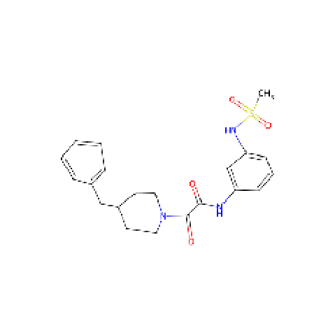 CS(=O)(=O)Nc1cccc(NC(=O)C(=O)N2CCC(Cc3ccccc3)CC2)c1